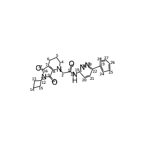 O=C(CN1CCCC2=C1C(=O)N(C1CCC1)C2=O)Nc1ccc(-c2ccccc2)nn1